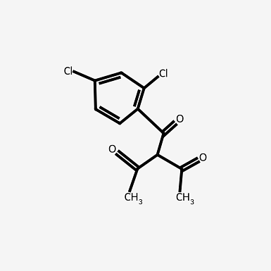 CC(=O)C(C(C)=O)C(=O)c1ccc(Cl)cc1Cl